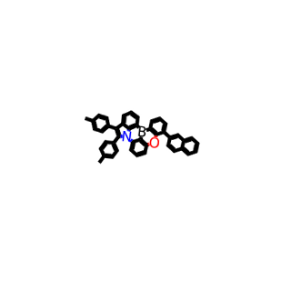 Cc1ccc(-c2c(-c3ccc(C)cc3)n3c4c(cccc24)B2c4cccc(-c5ccc6ccccc6c5)c4Oc4cccc-3c42)cc1